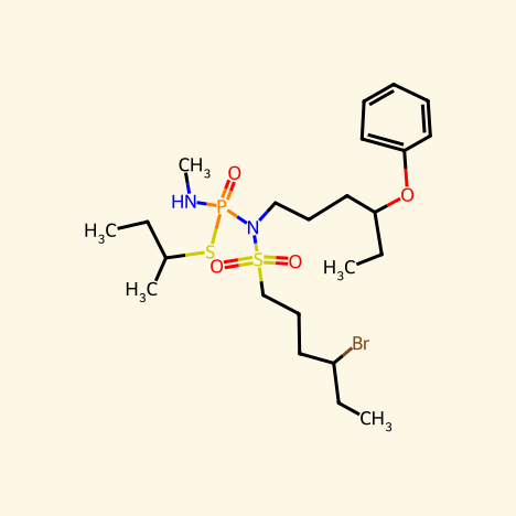 CCC(Br)CCCS(=O)(=O)N(CCCC(CC)Oc1ccccc1)P(=O)(NC)SC(C)CC